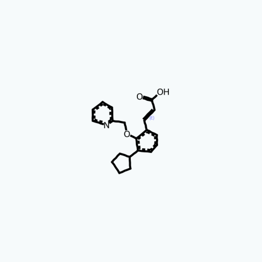 O=C(O)/C=C/c1cccc(C2CCCC2)c1OCc1ccccn1